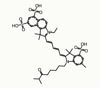 CC[N+]1=C(/C=C/C=C/C=C2/N(CCCCCC(=O)C(C)C)c3cc(C)cc(S(=O)(=O)O)c3C2(C)C)C(C)(C)c2c1ccc1c(S(=O)(=O)O)cc(S(=O)(=O)O)cc21